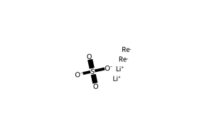 O=S(=O)([O-])[O-].[Li+].[Li+].[Re].[Re]